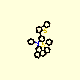 C1=Cc2cccc3cc4c(c(c23)C1)S(c1ccccc1)(c1ccccc1)c1ccc(-c2cccc3c2sc2ccccc23)cc1N4c1ccccc1